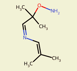 CC(C)=C/N=C\C(C)(C)ON